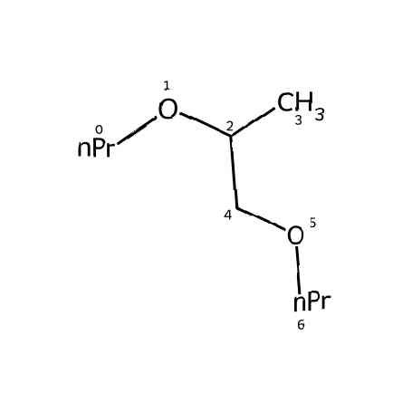 C[CH]COC(C)COCCC